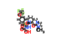 CN1CCN(Cc2ccc(-c3cc(OC(F)(F)F)ccc3S(=O)(=O)NC(=O)O)nc2)C1=O